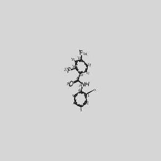 Cc1ccccc1NC(=O)c1ccc(F)cc1F